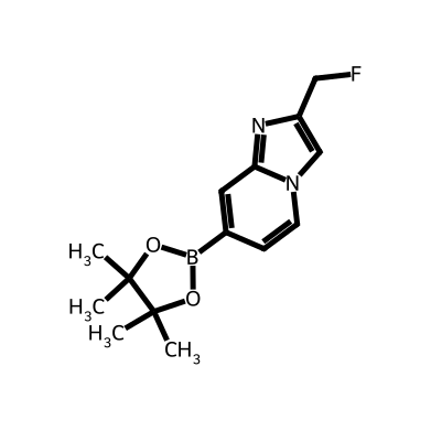 CC1(C)OB(c2ccn3cc(CF)nc3c2)OC1(C)C